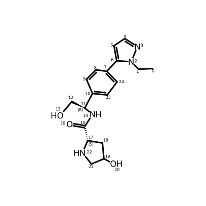 CCn1nccc1-c1ccc([C@H](CO)NC(=O)[C@@H]2CC(O)CN2)cc1